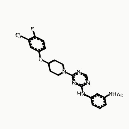 CC(=O)Nc1cccc(Nc2ncnc(N3CCC(Oc4ccc(F)c(Cl)c4)CC3)n2)c1